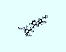 CCOC[C@H]1O[C@@H](n2ccc(=O)n(COC(=O)[C@@H](CCSC)NC(=O)OC)c2=O)[C@](C)(F)[C@@H]1O